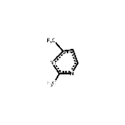 FC(F)(F)c1ccnc(C(F)(F)F)n1